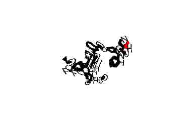 O=C(N[C@@H](c1ccccc1)c1cccc(OC(=O)c2cccc(CN3CCS[C@]3(C(=O)O)[C@@H](Cc3c(Cl)c[n+]([O-])cc3Cl)c3ccc(OC(F)F)c(OCC4CC4)c3)c2)c1)O[C@H]1CN2CCC1CC2.O=CO